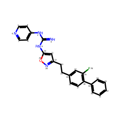 N=C(Nc1ccncc1)Nc1cc(CCc2ccc(-c3ccccc3)c(F)c2)no1